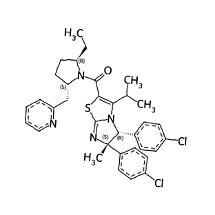 CC[C@@H]1CC[C@@H](Cc2ccccn2)N1C(=O)C1=C(C(C)C)N2C(=N[C@@](C)(c3ccc(Cl)cc3)[C@H]2c2ccc(Cl)cc2)S1